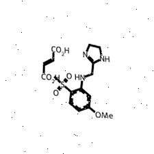 COc1ccc(S(C)(=O)=O)c(NCC2=NCCN2)c1.O=C(O)C=CC(=O)O